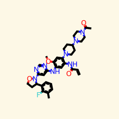 C=CC(=O)Nc1cc(Nc2cc(N3OCCC3c3cccc(C)c3F)ncn2)c(OC)cc1N1CCC(N2CCN(C(C)=O)CC2)CC1